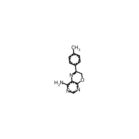 Cc1ccc(C2=Nc3c(N)ncnc3OC2)cc1